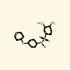 CCN(c1ccc(Oc2ccncc2)cc1)S(=O)(=O)c1ccc(C)c(C(=O)O)c1